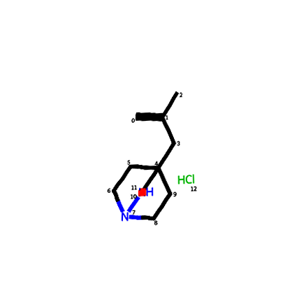 C=C(C)CC12CCN(CC1)NC2.Cl